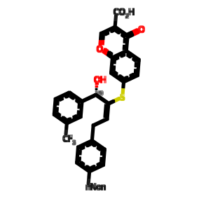 CCCCCCCCCc1ccc(CC=C(Sc2ccc3c(=O)c(C(=O)O)coc3c2)[C@@H](O)c2cccc(C(F)(F)F)c2)cc1